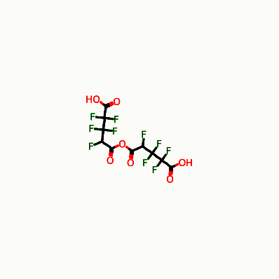 O=C(OC(=O)C(F)C(F)(F)C(F)(F)C(=O)O)C(F)C(F)(F)C(F)(F)C(=O)O